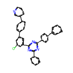 Clc1cc(-c2ccc(-c3cccnc3)cc2)cc(-c2nc(-c3ccccc3)nc(-c3ccc(-c4ccccc4)cc3)n2)c1